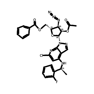 CC(=O)O[C@@H]1[C@H](N=[N+]=[N-])[C@@H](COC(=O)c2ccccc2)O[C@H]1n1ncc2c(N[C@@H](C)c3ccccc3F)cc(Cl)nc21